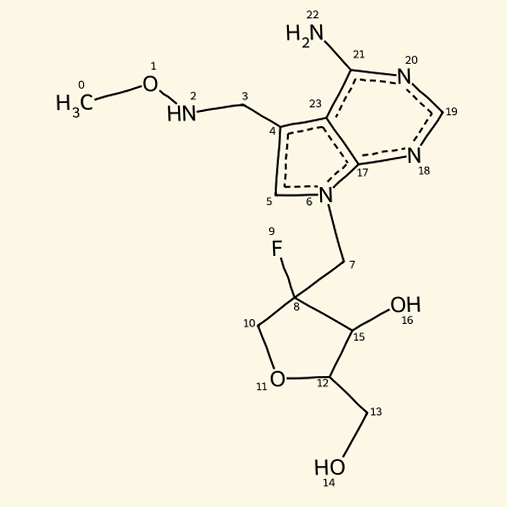 CONCc1cn(CC2(F)COC(CO)C2O)c2ncnc(N)c12